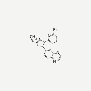 C=Cc1cc(-c2ccc3nccnc3c2)n(-c2cccc(CC)n2)n1